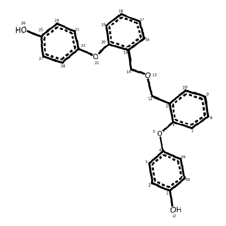 Oc1ccc(Oc2ccccc2COCc2ccccc2Oc2ccc(O)cc2)cc1